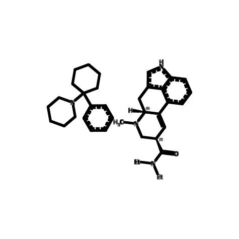 CCN(CC)C(=O)[C@@H]1C=C2c3cccc4[nH]cc(c34)C[C@H]2N(C)C1.c1ccc(C2(N3CCCCC3)CCCCC2)cc1